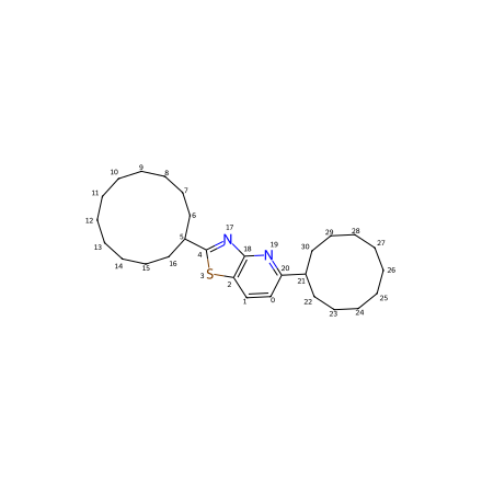 c1cc2sc(C3CCCCCCCCCCC3)nc2nc1C1CCCCCCCCC1